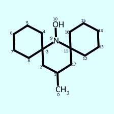 CC1CC2(CCCCC2)N(O)C2(CCCCC2)C1